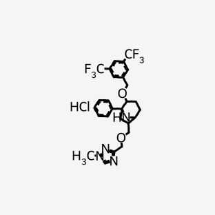 Cl.Cn1cnc(COCC2CC3(c4ccccc4)NC2CCC3OCc2cc(C(F)(F)F)cc(C(F)(F)F)c2)n1